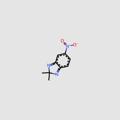 [CH2]C1(C)N=c2ccc([N+](=O)[O-])cc2=N1